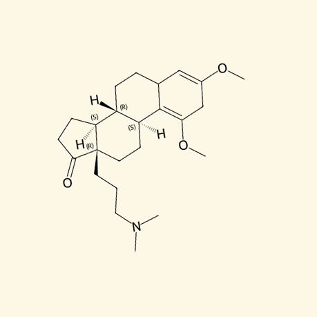 COC1=CC2CC[C@@H]3[C@H](CC[C@]4(CCCN(C)C)C(=O)CC[C@@H]34)C2=C(OC)C1